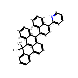 CC1(C)c2ccccc2-c2cccc3c(-c4ccc(-c5ccccn5)c5ccccc45)c4ccccc4c1c23